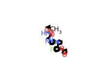 CC1(S(=O)(=O)NC(=O)c2cnc3ccc(N4CCCC4c4cc(F)ccc4OC4CCOC4)cn23)CC1